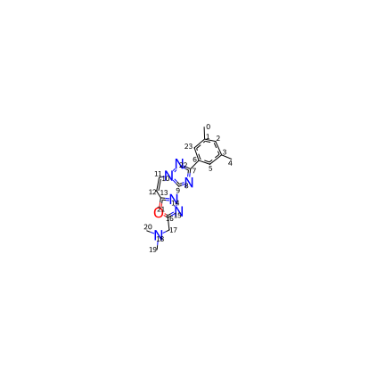 Cc1cc(C)cc(-c2ncn(/C=C\c3nnc(CN(C)C)o3)n2)c1